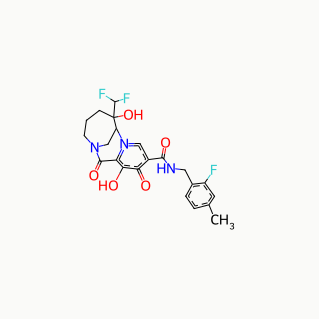 Cc1ccc(CNC(=O)c2cn3c(c(O)c2=O)C(=O)N2CCCC(O)(C(F)F)C3C2)c(F)c1